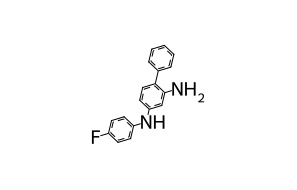 Nc1cc(Nc2ccc(F)cc2)ccc1-c1ccccc1